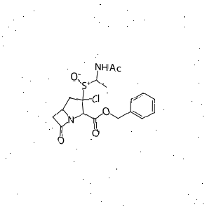 CC(=O)NC(C)[S+]([O-])C1(Cl)CC2CC(=O)N2C1C(=O)OCc1ccccc1